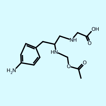 CC(=O)OCNC(CNCC(=O)O)Cc1ccc(N)cc1